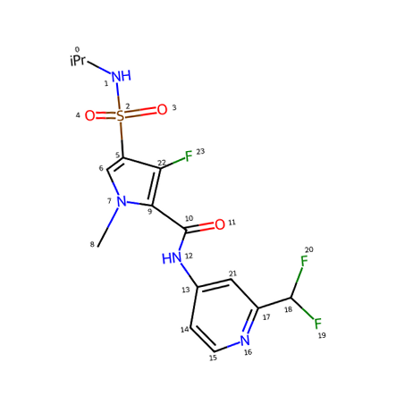 CC(C)NS(=O)(=O)c1cn(C)c(C(=O)Nc2ccnc(C(F)F)c2)c1F